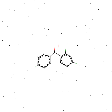 OC(c1ccc(F)cc1)c1ccc(Br)cc1F